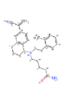 C=C(C#N)c1ccc2c(c1)CCCC2N(CCCCC(N)=O)CCc1ccccc1C